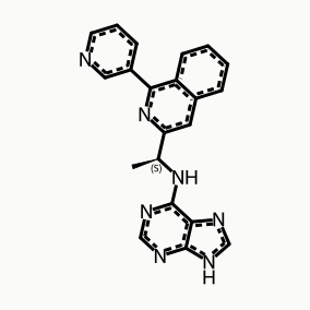 C[C@H](Nc1ncnc2[nH]cnc12)c1cc2ccccc2c(-c2cccnc2)n1